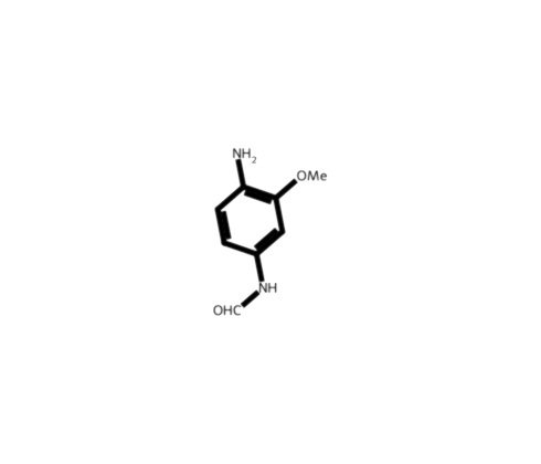 COc1cc(NC=O)ccc1N